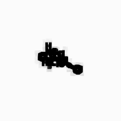 CC(C)(c1ncc(C#Cc2ccccc2)cc1Cl)n1c(=O)[nH]c2ccccc2c1=O